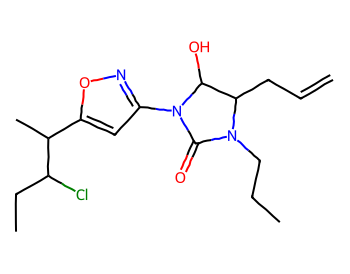 C=CCC1C(O)N(c2cc(C(C)C(Cl)CC)on2)C(=O)N1CCC